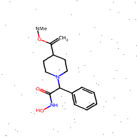 C=C(ONC)C1CCN(C(C(=O)NO)c2ccccc2)CC1